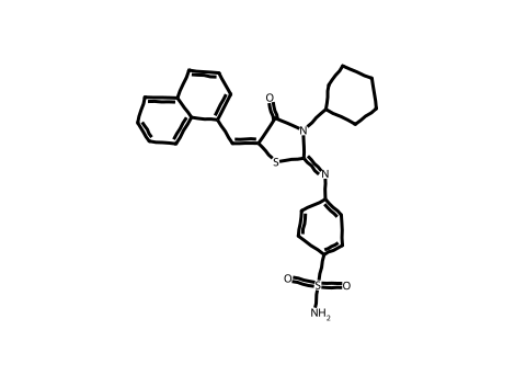 NS(=O)(=O)c1ccc(/N=C2\SC(=Cc3cccc4ccccc34)C(=O)N2C2CCCCC2)cc1